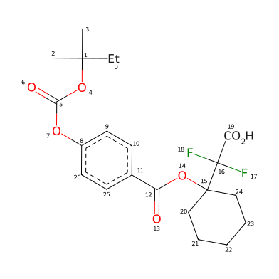 CCC(C)(C)OC(=O)Oc1ccc(C(=O)OC2(C(F)(F)C(=O)O)CCCCC2)cc1